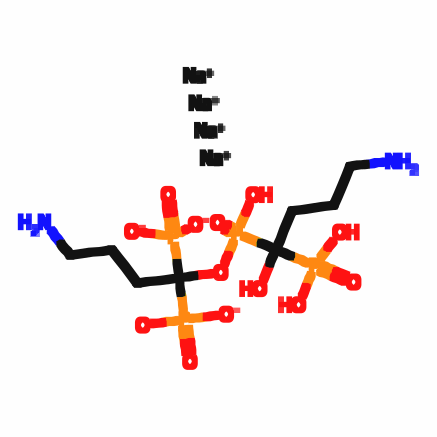 NCCCC(OP(=O)(O)C(O)(CCCN)P(=O)(O)O)(P(=O)([O-])[O-])P(=O)([O-])[O-].[Na+].[Na+].[Na+].[Na+]